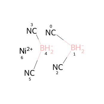 N#C[BH2-]C#N.N#C[BH2-]C#N.[Ni+2]